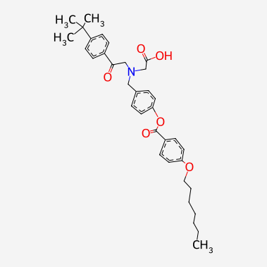 CCCCCCCOc1ccc(C(=O)Oc2ccc(CN(CC(=O)O)CC(=O)c3ccc(C(C)(C)C)cc3)cc2)cc1